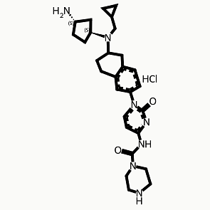 Cl.N[C@H]1CC[C@H](N(CC2CC2)C2CCc3cc(-n4ccc(NC(=O)N5CCNCC5)nc4=O)ccc3C2)C1